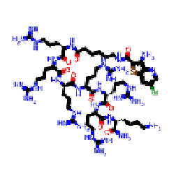 N=C(N)NCCCC(NC(=O)[C@@H](CCCNC(=N)N)NC(=O)CCCCCNC(=O)c1sc2cc(Br)cnc2c1N)C(=O)N[C@H](CCCNC(=N)N)C(=O)NC(CCCNC(=N)N)C(=O)N[C@H](CCCNC(=N)N)C(=O)NC(CCCNC(=N)N)C(=O)N[C@H](CCCCN)C(N)=O